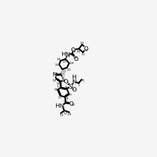 CCNS(=O)(=O)c1cc(C(=O)NC(C)C)ccc1-c1cnc([C@H]2CC[C@H](NC(=O)OC3COC3)CC2)s1